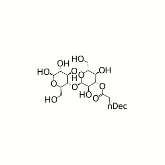 CCCCCCCCCCCC(=O)O[C@@H]1[C@@H](O)[C@@H](O[C@H]2[C@H](O)[C@@H](O)[C@H](O)O[C@@H]2CO)O[C@H](CO)[C@H]1O